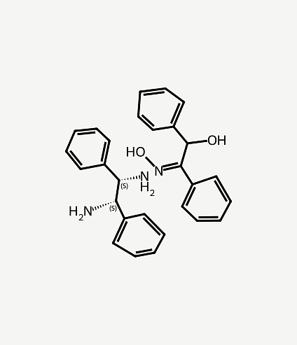 N[C@@H](c1ccccc1)[C@@H](N)c1ccccc1.ON=C(c1ccccc1)C(O)c1ccccc1